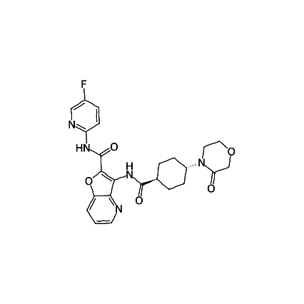 O=C(Nc1ccc(F)cn1)c1oc2cccnc2c1NC(=O)[C@H]1CC[C@H](N2CCOCC2=O)CC1